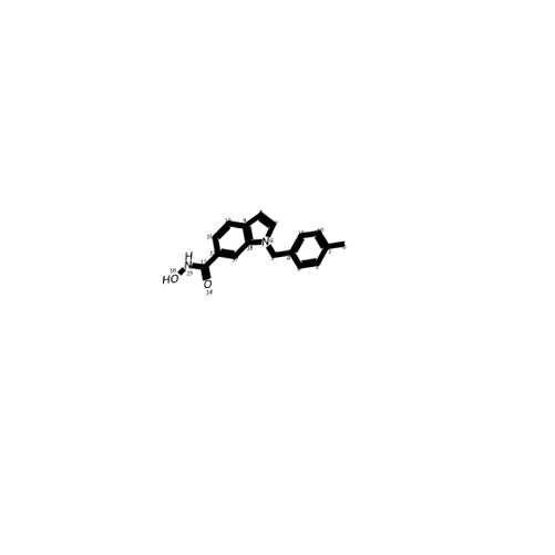 Cc1ccc(Cn2ccc3ccc(C(=O)NO)cc32)cc1